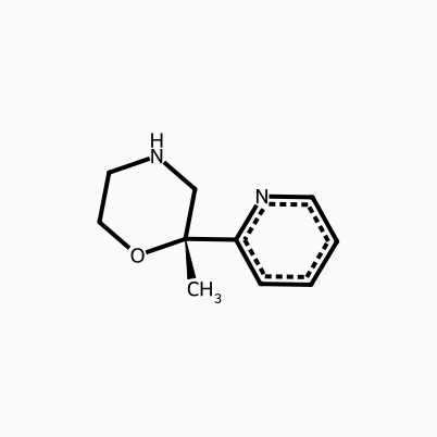 C[C@]1(c2ccccn2)CNCCO1